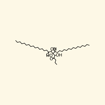 CCCCCCCCCCCCCCCC(=O)C(O)C(O)(C(=O)CCCCCCCCCCCCCCC)C(O)C(=O)CCC